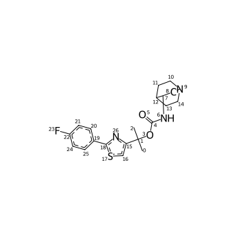 CC(C)(OC(=O)NC1CN2CCC1CC2)c1csc(-c2ccc(F)cc2)n1